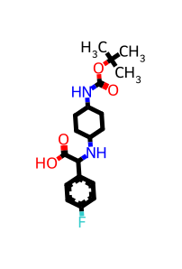 CC(C)(C)OC(=O)NC1CCC(NC(C(=O)O)c2ccc(F)cc2)CC1